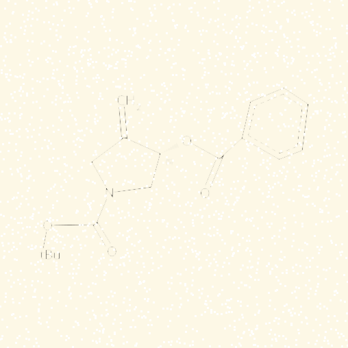 C=C1CN(C(=O)OC(C)(C)C)C[C@H]1OC(=O)c1ccccc1